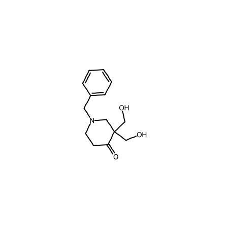 O=C1CCN(Cc2ccccc2)CC1(CO)CO